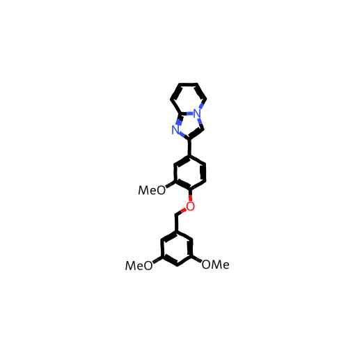 COc1cc(COc2ccc(-c3cn4ccccc4n3)cc2OC)cc(OC)c1